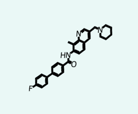 Cc1c(NC(=O)c2ccc(-c3ccc(F)cc3)cc2)ccc2cc(CN3CCCCC3)cnc12